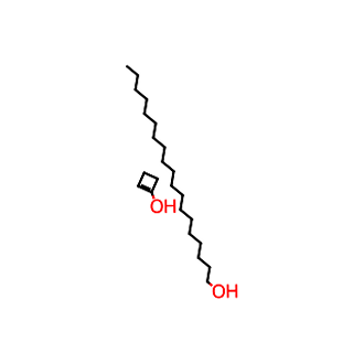 CCCCCCCCCCCCCCCCCCCO.OC1=CCC1